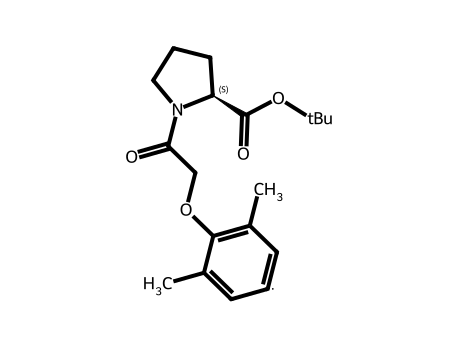 Cc1c[c]cc(C)c1OCC(=O)N1CCC[C@H]1C(=O)OC(C)(C)C